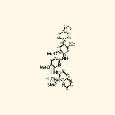 CCc1cc(Nc2ncc(OC)c(Nc3ccc4nccnc4c3N(C)SC)n2)c(OC)cc1N1CCN(C)CC1